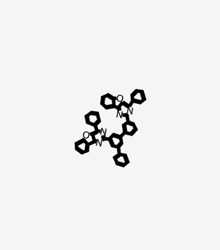 c1ccc(-c2cc(-c3cccc(-c4nc(-c5ccccc5)c5oc6ccccc6c5n4)c3)cc(-c3nc(-c4ccccc4)c4oc5ccccc5c4n3)c2)cc1